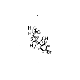 C#CC(C)(c1csc(NC(C)=O)n1)c1ccc(Br)cc1F